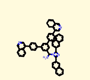 NC(c1cc(-c2ccc(-c3cncc4c3CCC=C4)cc2)cc(-c2ccc(-c3cncc4ccccc34)cc2)c1)N1C(c2ccc3ccccc3c2)=NC1c1ccc2ccccc2c1